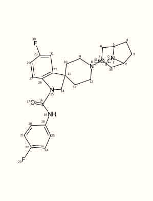 CCOC(=O)N1C2CCC1CC(N1CCC3(CC1)CN(C(=O)Nc1ccc(F)cc1)c1ccc(F)cc13)C2